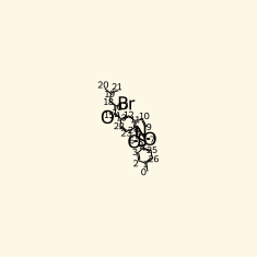 Cc1ccc(S(=O)(=O)n2ccc3cc(C(=O)C(Br)CC(C)C)ccc32)cc1